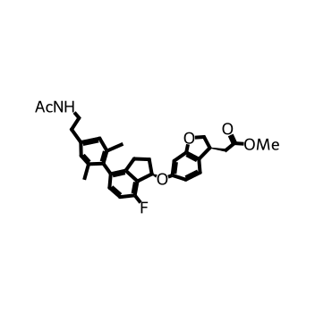 COC(=O)C[C@@H]1COc2cc(O[C@@H]3CCc4c(-c5c(C)cc(CCNC(C)=O)cc5C)ccc(F)c43)ccc21